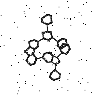 c1ccc(-c2nc(-c3ccccc3)nc(-c3ccc4sc5cccc(-c6ccc7c(c6)N(c6ccccc6)CC7c6ccccc6)c5c4c3)n2)cc1